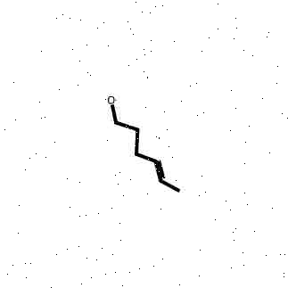 C/C=C/CCC[O]